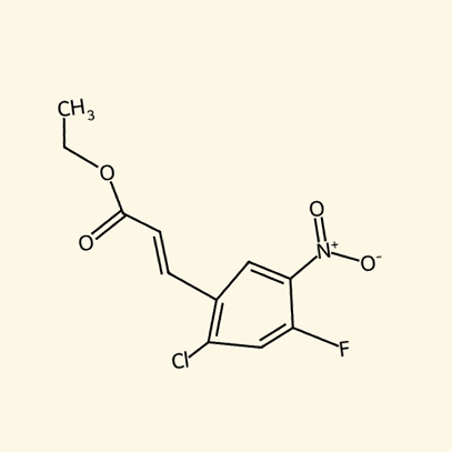 CCOC(=O)/C=C/c1cc([N+](=O)[O-])c(F)cc1Cl